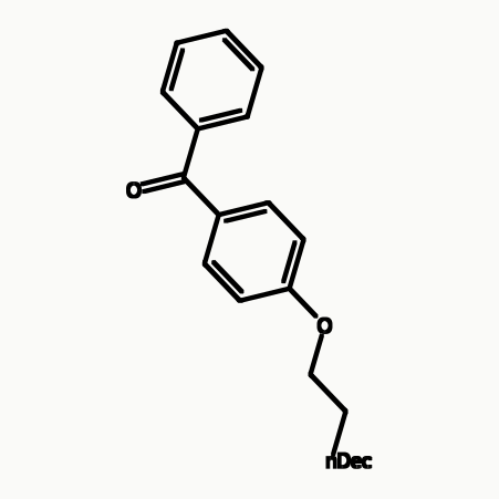 CCCCCCCCCCCCOc1ccc(C(=O)c2ccccc2)cc1